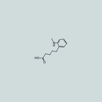 CNc1ccccc1CCCCC(=O)O